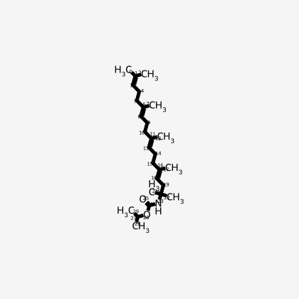 CC(C)=CCC/C(C)=C/CC/C(C)=C/CC/C(C)=C/CC(C)(C)NC(=O)OC(C)C